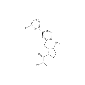 CC(C)N(C)C(=O)N1CCC(N)C1Cc1cccc(-c2cccc(F)c2)c1